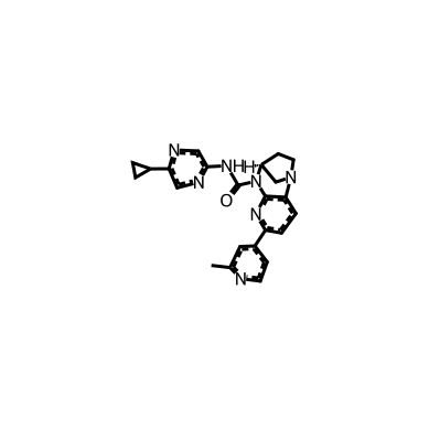 Cc1cc(-c2ccc3c(n2)N(C(=O)Nc2cnc(C4CC4)cn2)[C@H]2CCN3C2)ccn1